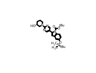 CC(C)(C)OC(=O)n1c(-c2cnc(N3CCC[C@@H](O)C3)nc2)cc2cc(O[Si](C)(C)C(C)(C)C)ccc21